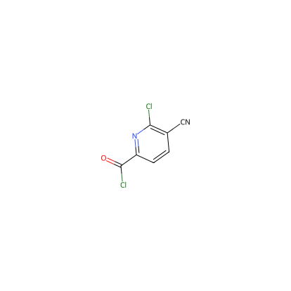 N#Cc1ccc(C(=O)Cl)nc1Cl